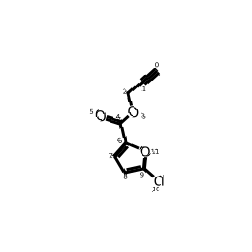 C#CCOC(=O)c1ccc(Cl)o1